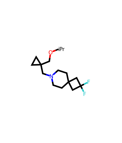 CC(C)OCC1(CN2CCC3(CC2)CC(F)(F)C3)CC1